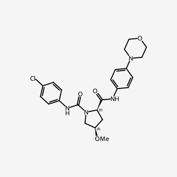 CO[C@@H]1C[C@H](C(=O)Nc2ccc(N3CCOCC3)cc2)N(C(=O)Nc2ccc(Cl)cc2)C1